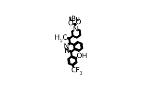 C=C(c1nnc(-c2ccc(C(F)(F)F)cc2O)c2ccccc12)C1CCCN(C(=O)OC(C)(C)C)C1